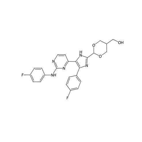 OCC1COC(c2nc(-c3ccc(F)cc3)c(-c3ccnc(Nc4ccc(F)cc4)n3)[nH]2)OC1